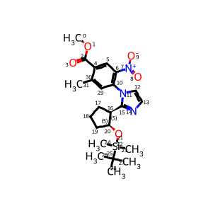 COC(=O)c1cc([N+](=O)[O-])c(-n2ccnc2[C@@H]2CCC[C@@H]2O[Si](C)(C)C(C)(C)C)cc1C